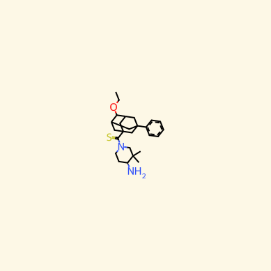 CCOC1C2CC3(C(=S)N4CC[C@H](N)C(C)(C)C4)CC1CC(c1ccccc1)(C2)C3